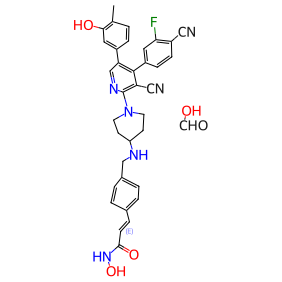 Cc1ccc(-c2cnc(N3CCC(NCc4ccc(/C=C/C(=O)NO)cc4)CC3)c(C#N)c2-c2ccc(C#N)c(F)c2)cc1O.O=CO